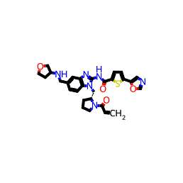 C=CC(=O)N1CCC[C@@H]1Cn1c(NC(=O)c2ccc(-c3cnco3)s2)nc2cc(CNC3CCOC3)ccc21